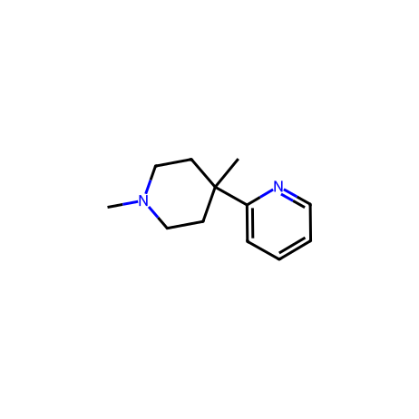 CN1CCC(C)(c2ccccn2)CC1